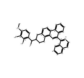 COc1ccc(C(F)C2CCc3c(ccc4c3cc(-c3nccc5ccccc35)c3ccccc34)C2)c(F)c1F